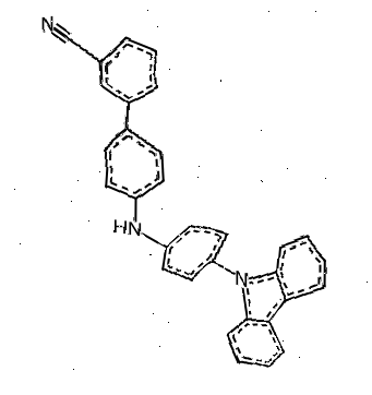 N#Cc1cccc(-c2ccc(Nc3ccc(-n4c5ccccc5c5ccccc54)cc3)cc2)c1